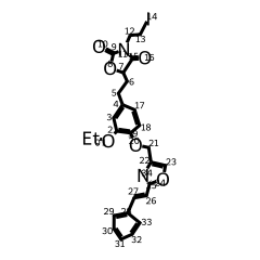 CCOc1cc(CCC2OC(=O)N(CCI)C2=O)ccc1OCc1coc(C=Cc2ccccc2)n1